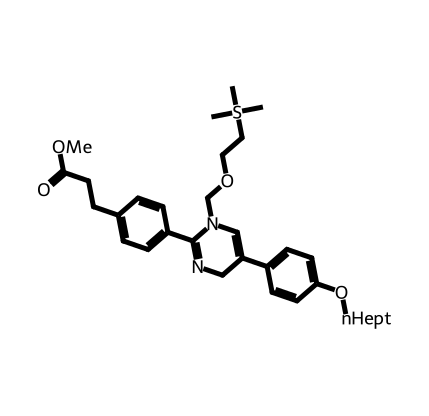 CCCCCCCOc1ccc(C2=CN(COCCS(C)(C)C)C(c3ccc(CCC(=O)OC)cc3)=NC2)cc1